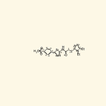 CCc1nnc(SCC(=O)Nc2nnc(-c3ccc(S(C)(=O)=O)cc3)s2)n1CC